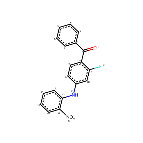 O=C(c1ccccc1)c1ccc(Nc2ccccc2[N+](=O)[O-])cc1F